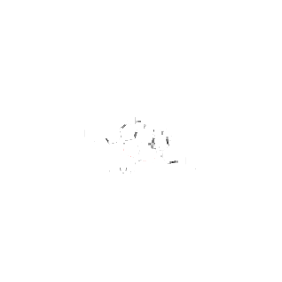 C=C[Si](C=C)(C=C)O[Si](OC)(OC)O[Si](C=C)(C=C)C=C